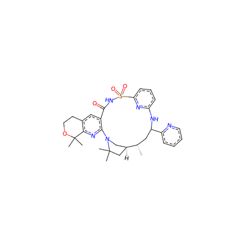 C[C@H]1CC(c2ccccn2)Nc2cccc(n2)S(=O)(=O)NC(=O)c2cc3c(nc2N2C[C@@H]1CC2(C)C)C(C)(C)OCC3